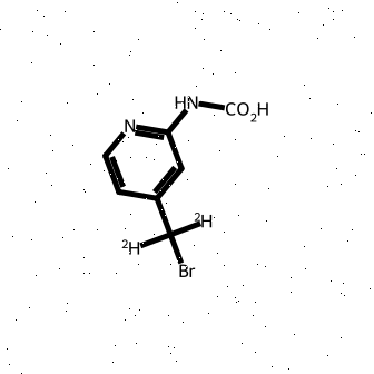 [2H]C([2H])(Br)c1ccnc(NC(=O)O)c1